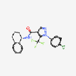 O=C(N[C@@H]1CCCc2ccccc21)c1cnn(-c2ccc(Cl)cc2)c1C(F)(F)F